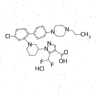 CCCN1CCN(c2ccc(-c3ccc(Cl)cc3N3CCCC(n4ncc(C(=O)O)c4C(F)F)C3)cc2)CC1.Cl